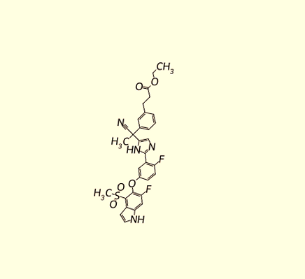 CCOC(=O)CCc1cccc(C(C)(C#N)c2cnc(-c3cc(Oc4c(F)cc5[nH]ccc5c4S(C)(=O)=O)ccc3F)[nH]2)c1